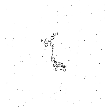 CCC(=C(c1ccc(O)cc1)c1ccc(OCCCCCN2CCN(c3cnc4c(n3)C(=O)N(C3CCC(=O)NC3=O)C4=O)CC2)cc1)c1ccccc1